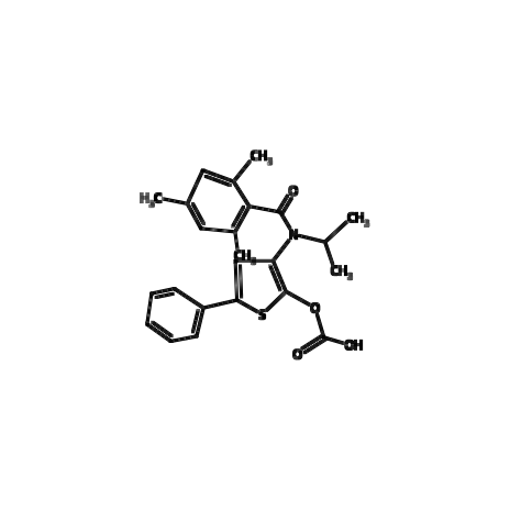 Cc1cc(C)c(C(=O)N(c2cc(-c3ccccc3)sc2OC(=O)O)C(C)C)c(C)c1